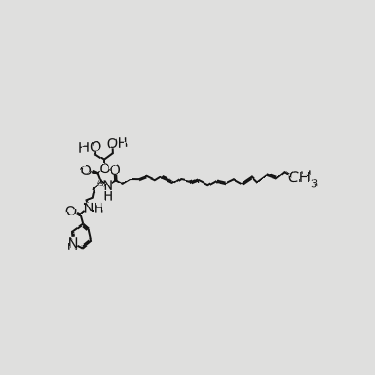 CCC=CCC=CCC=CCC=CCC=CCC=CCCC(=O)N[C@@H](CCCNC(=O)c1cccnc1)C(=O)OC(CO)CO